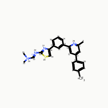 Cc1cc(-c2ccc(C(F)(F)F)cc2)cc(-c2cccc(-c3csc(/N=C/N(C)C)n3)c2)n1